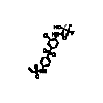 C=CS(=O)(=O)Nc1ccc(S(=O)(=O)c2ccc(NC(=O)[C@@](C)(O)C(F)(F)F)c(Cl)c2)cc1